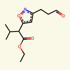 CCOC(=O)C(c1cc(CCC=O)no1)C(C)C